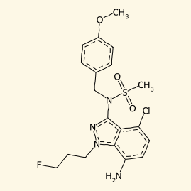 COc1ccc(CN(c2nn(CCCF)c3c(N)ccc(Cl)c23)S(C)(=O)=O)cc1